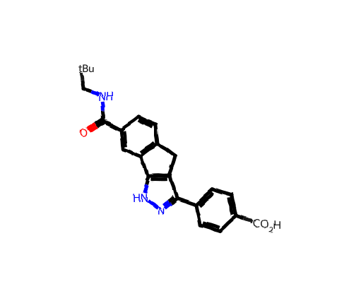 CC(C)(C)CNC(=O)c1ccc2c(c1)-c1[nH]nc(-c3ccc(C(=O)O)cc3)c1C2